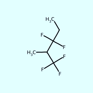 CCC(F)(F)[C](C)C(F)(F)F